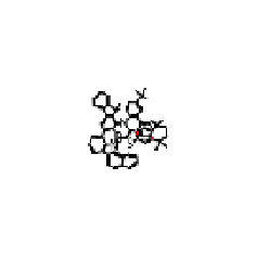 CC(C)(C)c1ccc(N2c3c4c(cc5c3C(C)(C)c3ccccc3-5)-c3cccc5c6ccc7ccccc7c6n(c35)B4c3sc4cc5c(cc4c32)C(C)(C)CCC5(C)C)c(-c2ccccc2)c1